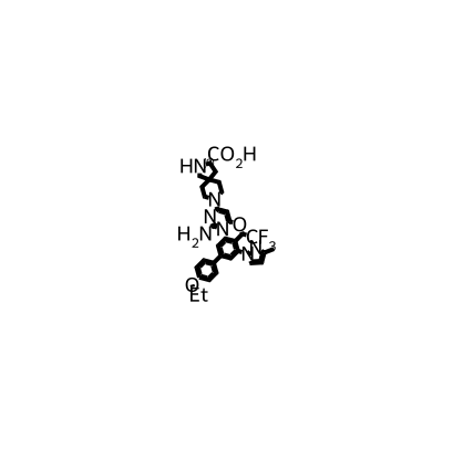 CCOc1ccc(-c2ccc(C(Oc3cc(N4CCC5(CC4)CN[C@H](C(=O)O)C5)nc(N)n3)C(F)(F)F)c(-n3ccc(C)n3)c2)cc1